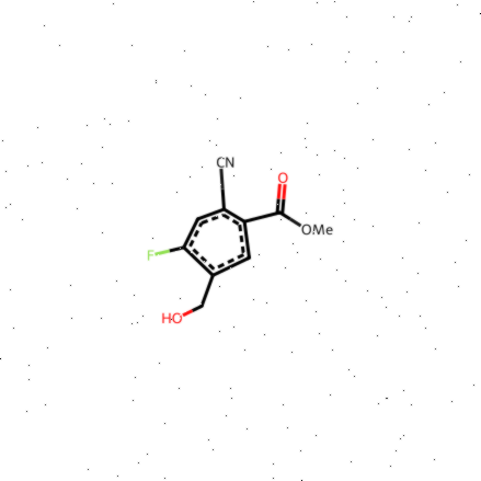 COC(=O)c1cc(CO)c(F)cc1C#N